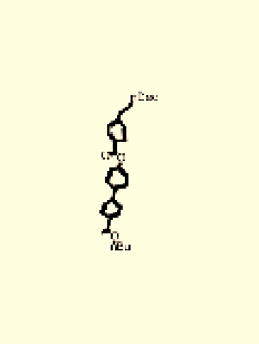 CCCCCCCCCCCCc1ccc(C(=O)Oc2ccc(-c3ccc(C(C)OCCCC)cc3)cc2)cc1